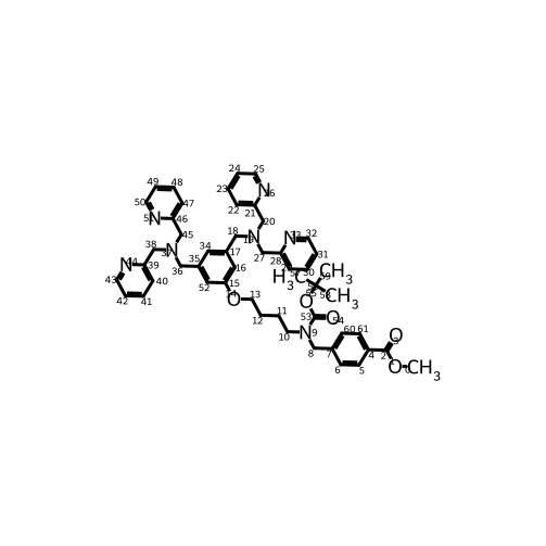 COC(=O)c1ccc(CN(CCCCOc2cc(CN(Cc3ccccn3)Cc3ccccn3)cc(CN(Cc3ccccn3)Cc3ccccn3)c2)C(=O)OC(C)(C)C)cc1